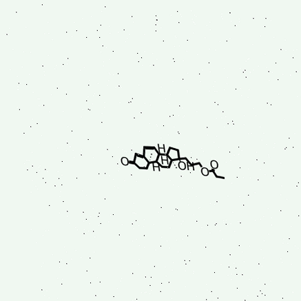 CCC(=O)OCCC[C@]1(O)CC[C@H]2[C@@H]3C=CC4=CC(=O)CC[C@]4(C)[C@H]3CC[C@@]21C